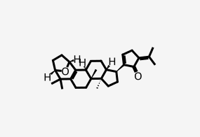 CC(C)=C1CC=C([C@H]2CC[C@]3(C)[C@@H]2CC[C@@H]2C4=C(CC[C@]23C)C(C)(C)[C@@H]2CC[C@H]4O2)C1=O